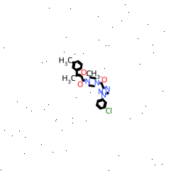 Cc1ccc2oc(C(=O)N3CCN(C(=O)c4ncn(-c5cccc(Cl)c5)n4)CC3C)c(C)c2c1